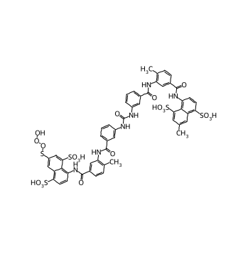 Cc1cc(S(=O)(=O)O)c2c(NC(=O)c3ccc(C)c(NC(=O)c4cccc(NC(=O)Nc5cccc(C(=O)Nc6cc(C(=O)Nc7ccc(S(=O)(=O)O)c8cc(SOOO)cc(S(=O)(=O)O)c78)ccc6C)c5)c4)c3)ccc(S(=O)(=O)O)c2c1